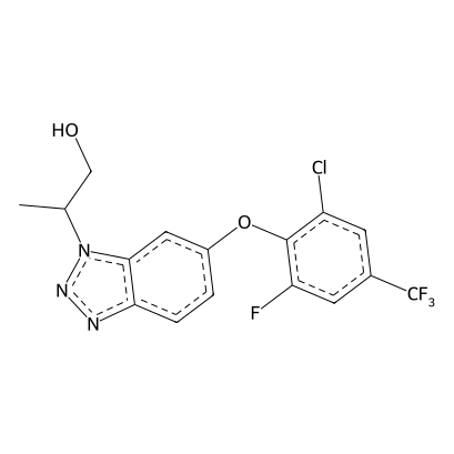 CC(CO)n1nnc2ccc(Oc3c(F)cc(C(F)(F)F)cc3Cl)cc21